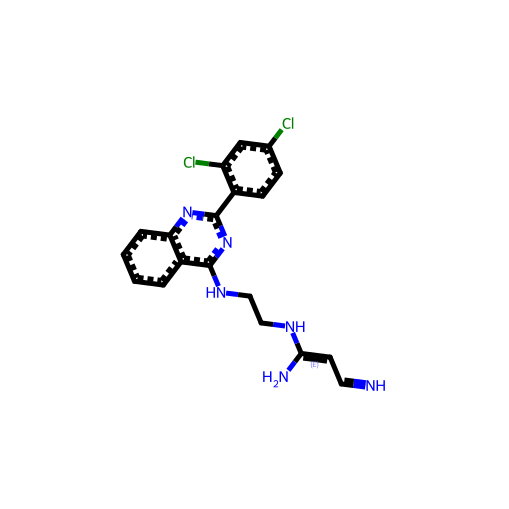 N=C/C=C(\N)NCCNc1nc(-c2ccc(Cl)cc2Cl)nc2ccccc12